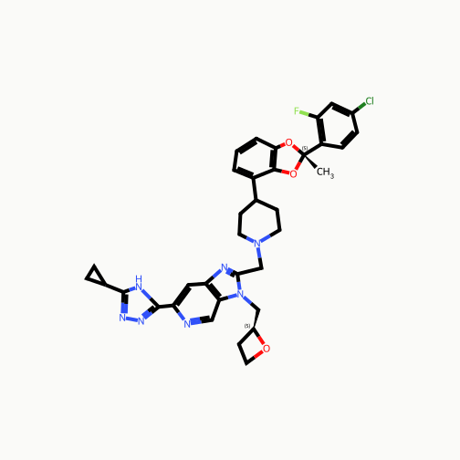 C[C@]1(c2ccc(Cl)cc2F)Oc2cccc(C3CCN(Cc4nc5cc(-c6nnc(C7CC7)[nH]6)ncc5n4C[C@@H]4CCO4)CC3)c2O1